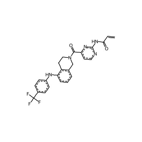 C=CC(=O)Nc1nccc(C(=O)N2CCc3c(cccc3Nc3ccc(C(F)(F)F)cc3)C2)n1